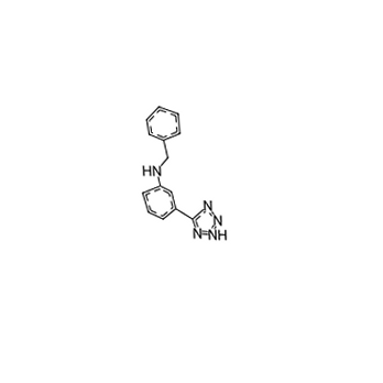 c1ccc(CNc2cccc(-c3nn[nH]n3)c2)cc1